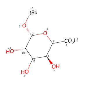 CC(C)(C)O[C@@H]1OC(C(=O)O)[C@@H](O)C(O)[C@@H]1O